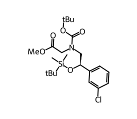 COC(=O)CN(C[C@H](O[Si](C)(C)C(C)(C)C)c1cccc(Cl)c1)C(=O)OC(C)(C)C